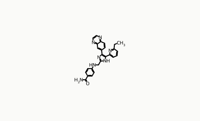 CCc1cccc(-c2[nH]c(CNc3ccc(C(N)=O)cc3)nc2-c2ccc3nccnc3c2)n1